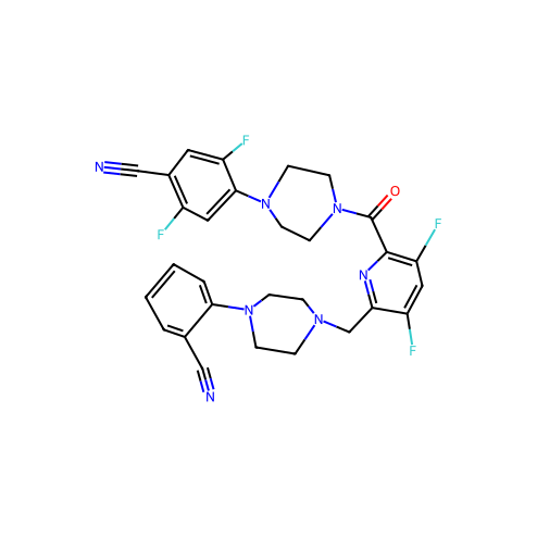 N#Cc1cc(F)c(N2CCN(C(=O)c3nc(CN4CCN(c5ccccc5C#N)CC4)c(F)cc3F)CC2)cc1F